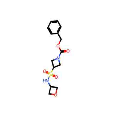 O=C(OCc1ccccc1)N1CC(S(=O)(=O)NC2COC2)C1